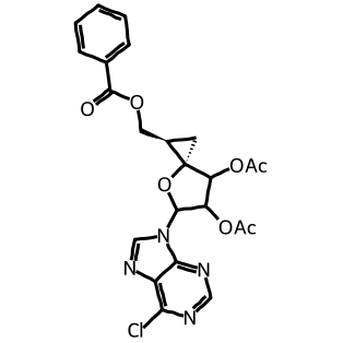 CC(=O)OC1C(n2cnc3c(Cl)ncnc32)O[C@]2(C[C@@H]2COC(=O)c2ccccc2)C1OC(C)=O